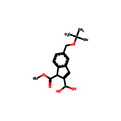 CC(C)(C)OC(=O)C1C(B(O)O)=Cc2cc(CO[Si](C)(C)C(C)(C)C)ccc21